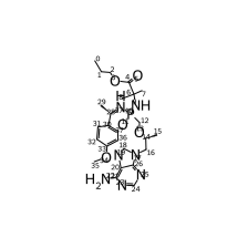 CCCOC(=O)C(C)(C)NP(=O)(CO[C@@H](C)Cn1cnc2c(N)ncnc21)N[C@H](C)c1ccc(OC)cc1